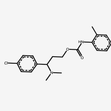 Cc1ccccc1NC(=O)OCCC(c1ccc(Cl)cc1)N(C)C